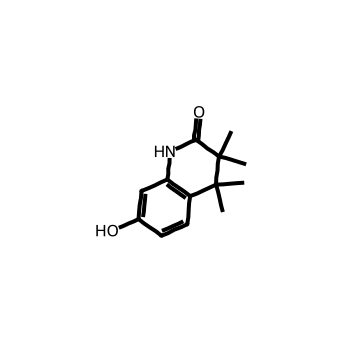 CC1(C)C(=O)Nc2cc(O)ccc2C1(C)C